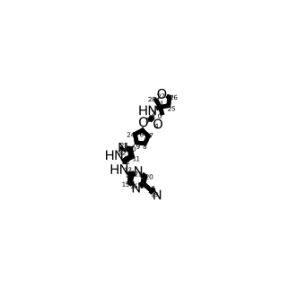 CC1(NC(=O)O[C@@H]2CC[C@H](c3cc(Nc4cnc(C#N)cn4)[nH]n3)C2)CCOC1